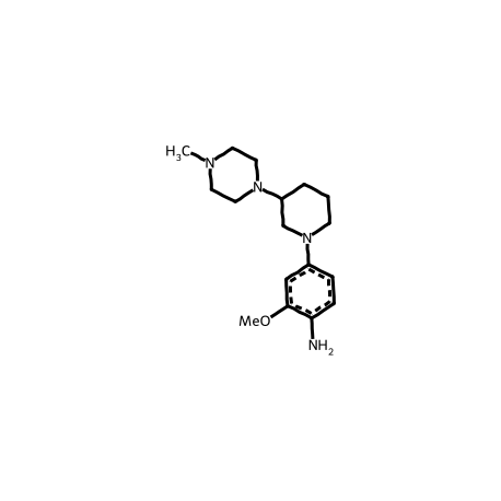 COc1cc(N2CCCC(N3CCN(C)CC3)C2)ccc1N